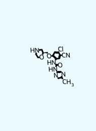 Cc1cnc(NC(=O)Nc2cc(C#N)c(Cl)cc2OC[C@@H]2CNCCO2)cn1